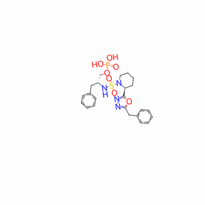 O=P(O)(O)OC[C@@H](Cc1ccccc1)NS(=O)(=O)N1CCCC[C@H]1c1nnc(Cc2ccccc2)o1